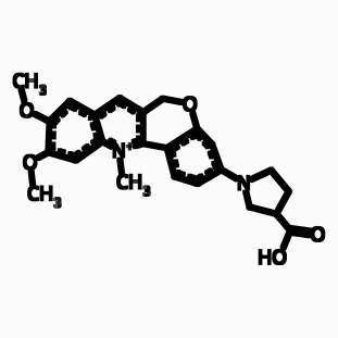 COc1cc2cc3c([n+](C)c2cc1OC)-c1ccc(N2CCC(C(=O)O)C2)cc1OC3